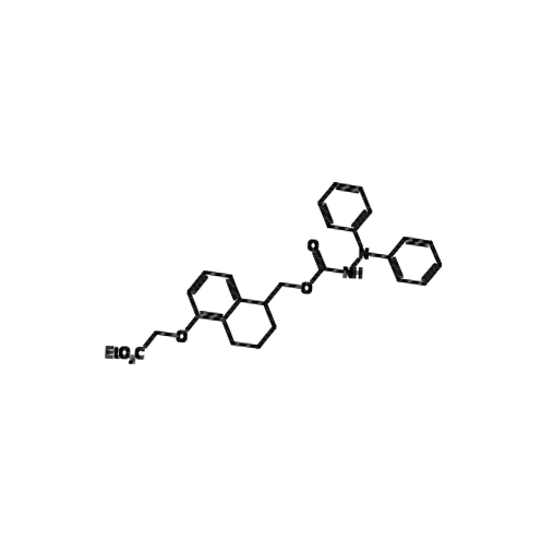 CCOC(=O)COc1cccc2c1CCCC2COC(=O)NN(c1ccccc1)c1ccccc1